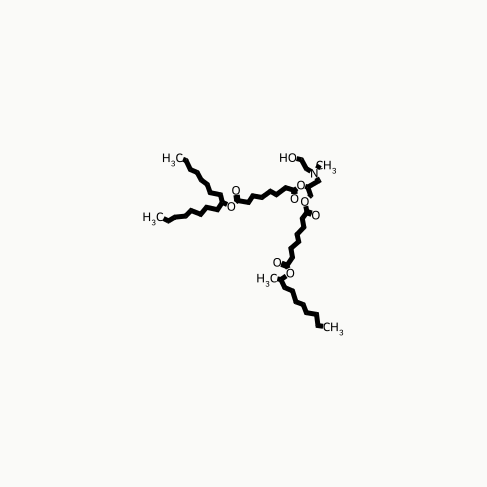 CCCCCCCCC(C)OC(=O)CCCCCCC(=O)OCC(CN(C)CCO)OC(=O)CCCCCCC(=O)OC(CCCCCCCC)CCCCCCCC